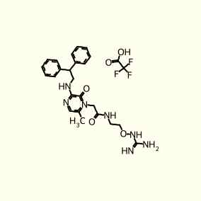 Cc1cnc(NCC(c2ccccc2)c2ccccc2)c(=O)n1CC(=O)NCCONC(=N)N.O=C(O)C(F)(F)F